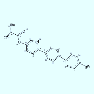 CCCc1ccc(-c2ccc(-c3ncc(OC(=O)[C@@H](Cl)[C@@H](C)CC)cn3)cc2)cc1